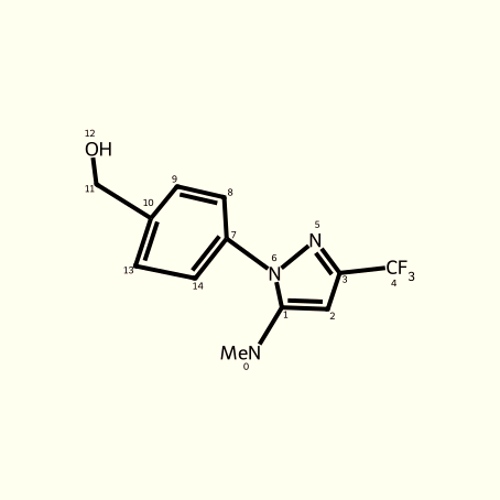 CNc1cc(C(F)(F)F)nn1-c1ccc(CO)cc1